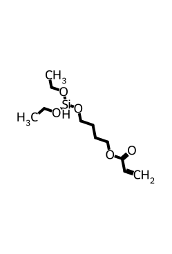 C=CC(=O)OCCCCO[SiH](OCC)OCC